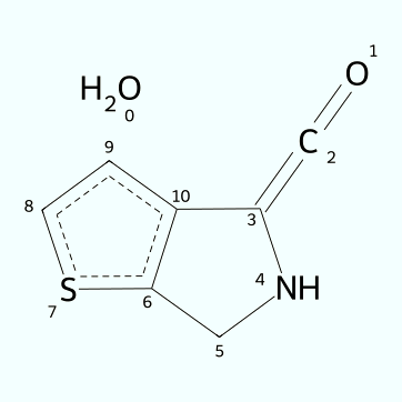 O.O=C=C1NCc2sccc21